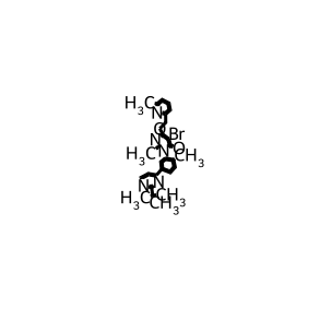 Cc1cccc(COc2nc(C)n(-c3cc(-c4ccnc(C(C)(C)C)n4)ccc3C)c(=O)c2Br)n1